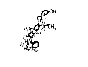 C=CC(=O)Nc1cc(Nc2ncc(Cl)c(Nc3ccccc3P(C)(C)=O)n2)c(OC)cc1N1CCC(N2CCC(O)C2)C1